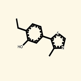 CCc1ccc(-c2scnc2C)cc1O